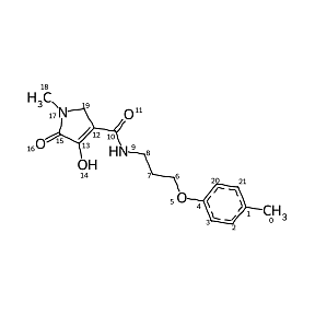 Cc1ccc(OCCCNC(=O)C2=C(O)C(=O)N(C)C2)cc1